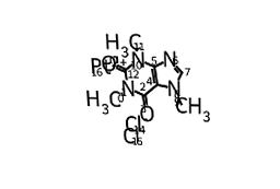 Cn1c(=O)c2c(ncn2C)n(C)c1=O.[Cl-].[Cl-].[Pt+2]